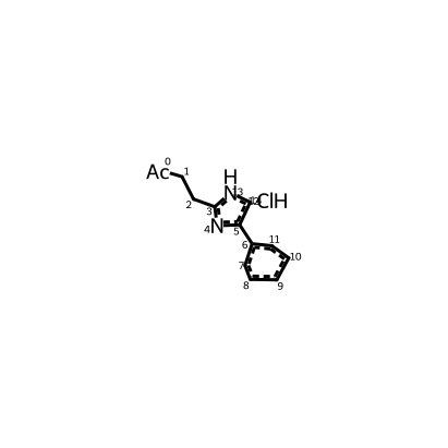 CC(=O)CCc1nc(-c2ccccc2)c[nH]1.Cl